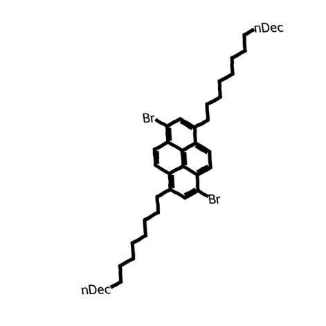 CCCCCCCCCCCCCCCCCCc1cc(Br)c2ccc3c(CCCCCCCCCCCCCCCCCC)cc(Br)c4ccc1c2c43